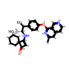 CCC(c1ccc(Oc2nc(C)cc3ccncc23)cc1)[C@H](NC1=CC(=O)C12CCCCC2)C(=O)O